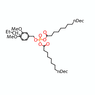 CCC.CCCCCCCCCCCCCCCCCC(=O)OP(=O)(OCc1ccc(OC)c(OC)c1)OC(=O)CCCCCCCCCCCCCCCCC